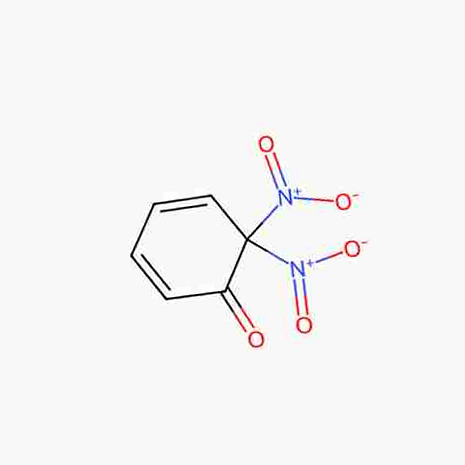 O=C1C=CC=CC1([N+](=O)[O-])[N+](=O)[O-]